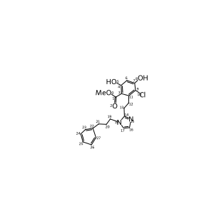 COC(=O)c1c(O)cc(O)c(Cl)c1CCc1nccn1CCCc1ccccc1